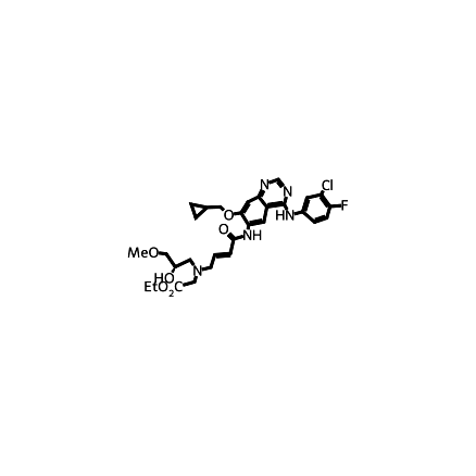 CCOC(=O)CN(CC=CC(=O)Nc1cc2c(Nc3ccc(F)c(Cl)c3)ncnc2cc1OCC1CC1)C[C@@H](O)COC